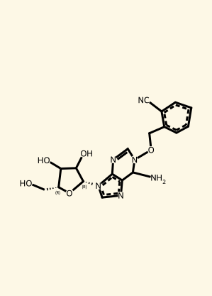 N#Cc1ccccc1CON1C=Nc2c(ncn2[C@@H]2O[C@H](CO)C(O)C2O)C1N